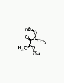 CCCCON(C)C(=O)N(C)OCCCC